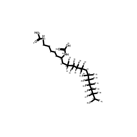 O=C(O)NCCCCCC(CC(F)(F)C(F)(F)C(F)(F)C(F)(F)CC(F)(F)C(F)(F)C(F)(F)C(F)(F)C(F)(F)C(F)F)NC(=O)O